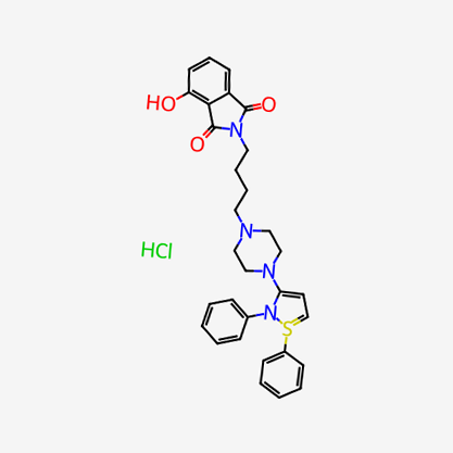 Cl.O=C1c2cccc(O)c2C(=O)N1CCCCN1CCN(C2=CC=S(c3ccccc3)N2c2ccccc2)CC1